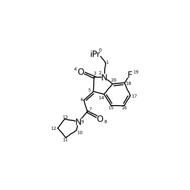 CC(C)CN1C(=O)/C(=C/C(=O)N2CCCC2)c2cccc(F)c21